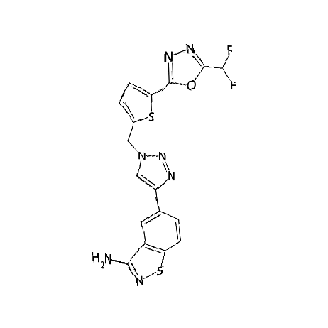 Nc1nsc2ccc(-c3cn(Cc4ccc(-c5nnc(C(F)F)o5)s4)nn3)cc12